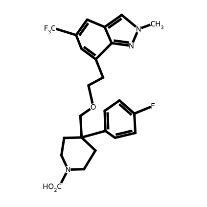 Cn1cc2cc(C(F)(F)F)cc(CCOCC3(c4ccc(F)cc4)CCN(C(=O)O)CC3)c2n1